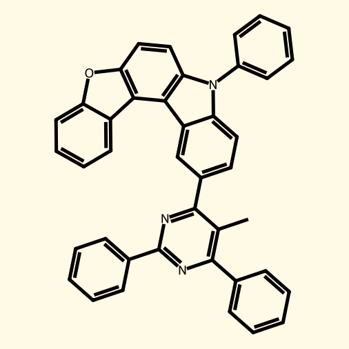 Cc1c(-c2ccccc2)nc(-c2ccccc2)nc1-c1ccc2c(c1)c1c3c(ccc1n2-c1ccccc1)oc1ccccc13